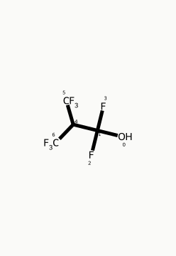 OC(F)(F)C(C(F)(F)F)C(F)(F)F